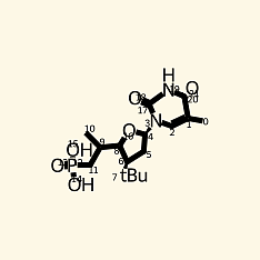 Cc1cn([C@H]2C[C@@H](C(C)(C)C)C(C(C)CP(=O)(O)O)O2)c(=O)[nH]c1=O